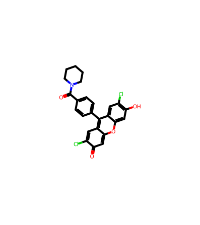 O=C(c1ccc(-c2c3cc(Cl)c(=O)cc-3oc3cc(O)c(Cl)cc23)cc1)N1CCCCC1